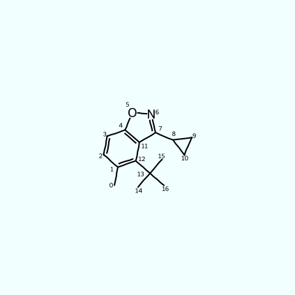 Cc1ccc2onc(C3CC3)c2c1C(C)(C)C